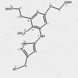 COCOc1cc(Nc2cc(CC(C)C)n[nH]2)c(C(=O)O)c(OCOC)c1